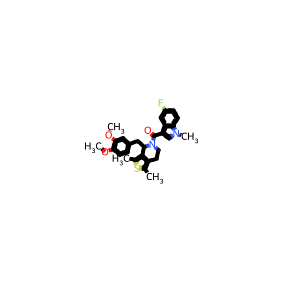 COc1ccc(CC2c3c(C)sc(C)c3CCN2C(=O)c2cn(C)c3ccc(F)cc23)cc1OC